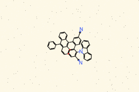 N#Cc1ccc(-c2cccc(C#N)c2-n2c3ccccc3c3ccccc32)c(-c2c3ccccc3c(-c3ccccc3)c3ccccc23)c1